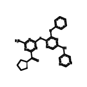 Nc1nc(Sc2ncc(Nc3cncnc3)nc2Oc2ccccc2)nc(C(=O)C2CCCC2)n1